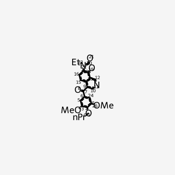 CCCOc1c(OC)cc(C(=O)c2cncc3c2ccc2c3oc(=O)n2CC)cc1OC